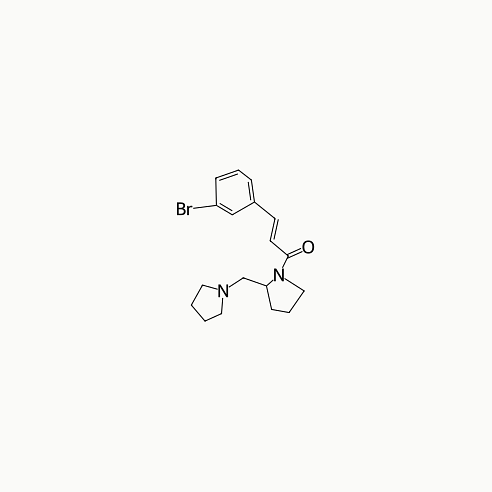 O=C(C=Cc1cccc(Br)c1)N1CCCC1CN1CCCC1